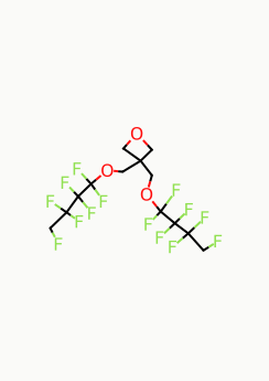 FCC(F)(F)C(F)(F)C(F)(F)OCC1(COC(F)(F)C(F)(F)C(F)(F)CF)COC1